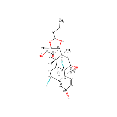 CCCC1O[C@@H]2C[C@H]3[C@@H]4C[C@H](F)C5=CC(=O)C=C[C@]5(C)[C@@]4(F)C(O)C[C@]3(C)[C@]2(C(=O)CO)O1